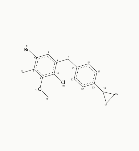 COc1c(C)c(Br)cc(Cc2ccc(C3CC3)cc2)c1Cl